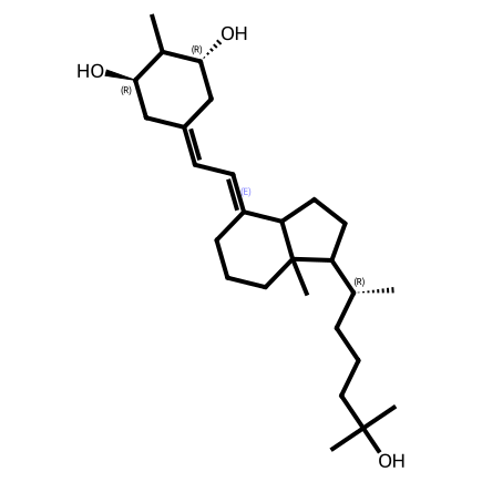 CC1[C@H](O)CC(=C/C=C2\CCCC3(C)C2CCC3[C@H](C)CCCC(C)(C)O)C[C@H]1O